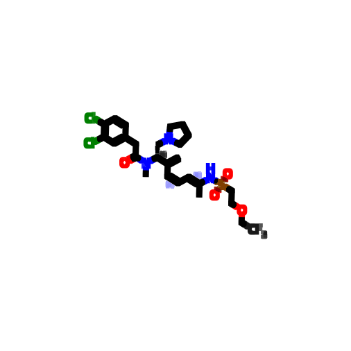 C=C(/C=C\C=C(/C)NS(=O)(=O)CCOCC(F)(F)F)[C@@H](CN1CCCC1)N(C)C(=O)Cc1ccc(Cl)c(Cl)c1